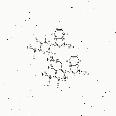 CCc1c(-c2cn(C)c3ccccc23)[nH]c(=O)c(C(=O)O)c1O.CCc1cc(C(=O)O)c(=O)[nH]c1-c1cn(C)c2ccccc12